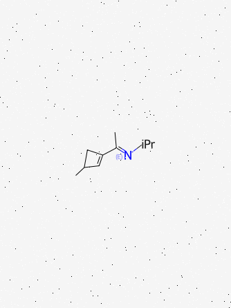 C/C(=N\C(C)C)C1=CC(C)C1